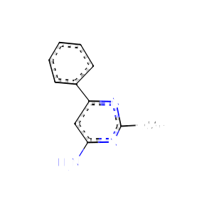 COc1nc(N)cc(-c2ccccc2)n1